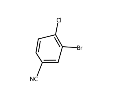 N#Cc1ccc(Cl)c(Br)c1